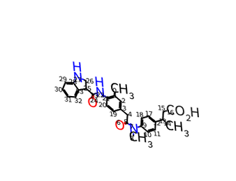 Cc1cc(CC(=O)N(C)c2ccc(C(C)CC(=O)O)cc2)ccc1NC(=O)C1CNc2ccccc21